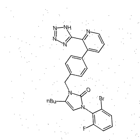 CCCCc1cn(-c2c(F)cccc2Br)c(=O)n1Cc1ccc(-c2cccnc2-c2nnn[nH]2)cc1